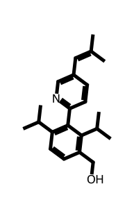 CC(C)=Cc1ccc(-c2c(C(C)C)ccc(CO)c2C(C)C)nc1